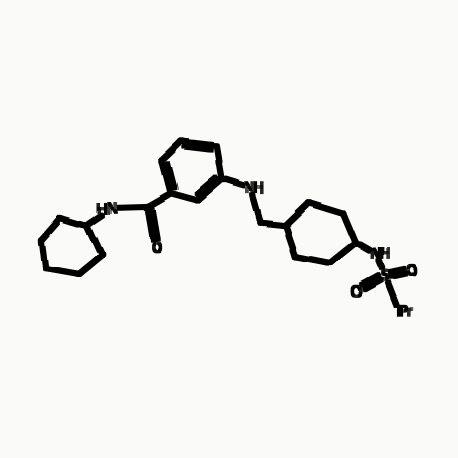 CC(C)S(=O)(=O)NC1CCC(CNc2cccc(C(=O)NC3CCCCC3)c2)CC1